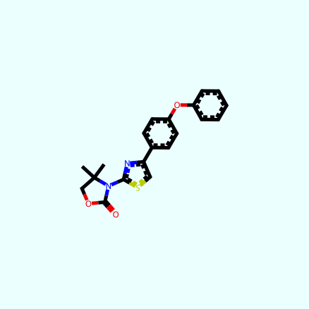 CC1(C)COC(=O)N1c1nc(-c2ccc(Oc3ccccc3)cc2)cs1